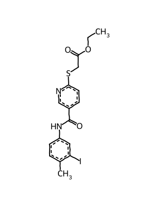 CCOC(=O)CSc1ccc(C(=O)Nc2ccc(C)c(I)c2)cn1